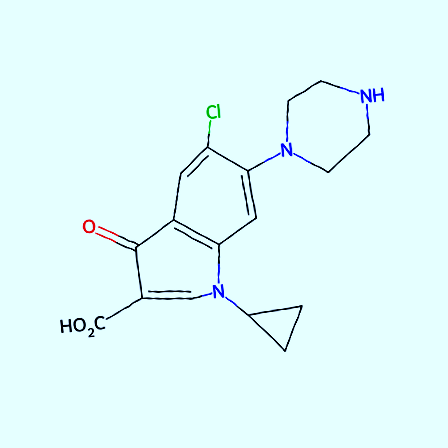 O=C(O)c1cn(C2CC2)c2cc(N3CCNCC3)c(Cl)cc2c1=O